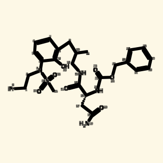 CC(C)CCN(c1cccc(CC(C)CNC(=O)[C@@H](CC(N)=O)NC(=O)OCc2ccccc2)c1O)S(C)(=O)=O